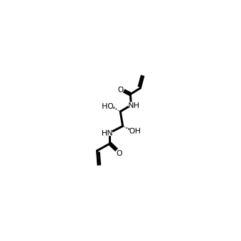 C=CC(=O)N[C@@H](O)[C@H](O)NC(=O)C=C